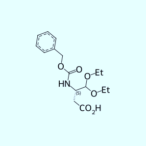 CCOC(OCC)[C@H](CC(=O)O)NC(=O)OCc1ccccc1